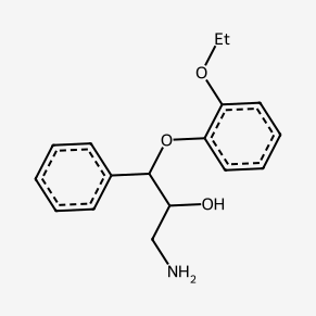 CCOc1ccccc1OC(c1ccccc1)C(O)CN